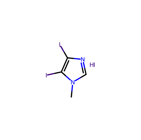 Cn1cnc(I)c1I.I